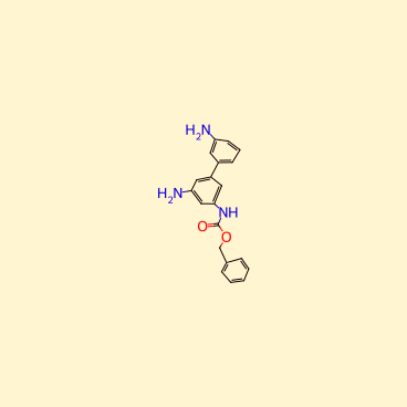 Nc1cccc(-c2cc(N)cc(NC(=O)OCc3ccccc3)c2)c1